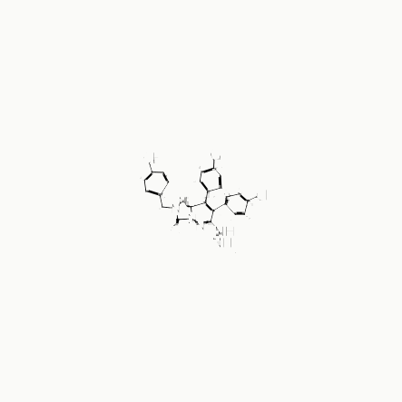 NNc1nn2c(=O)n(Cc3ccc(C(F)(F)F)cc3)nc2c(-c2ccc(Cl)cc2)c1-c1ccc(Cl)cc1